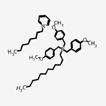 CCCCCCCCCCCC[B-](Cc1ccc(OC)cc1)(Cc1ccc(OC)cc1)Cc1ccc(OC)cc1.CCCCCCCC[n+]1ccccc1